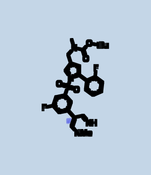 CN/C=C(\C=N)c1cc(F)cc(S(=O)(=O)n2cc(CN(C)C(=O)OC(C)(C)C)cc2-c2ccccc2F)c1